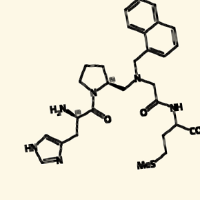 CSCCC(NC(=O)CN(Cc1cccc2ccccc12)C[C@@H]1CCCN1C(=O)[C@H](N)Cc1c[nH]cn1)C(=O)O